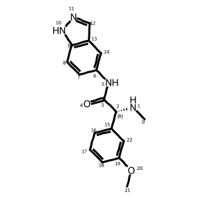 CN[C@@H](C(=O)Nc1ccc2[nH]ncc2c1)c1cccc(OC)c1